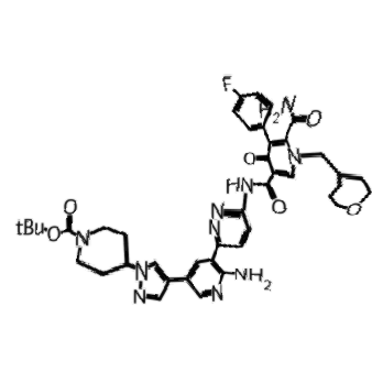 CC(C)(C)OC(=O)N1CCC(n2cc(-c3cnc(N)c(-c4ccc(NC(=O)c5cn(CC6CCOCC6)c(C(N)=O)c(-c6ccc(F)cc6)c5=O)nn4)c3)cn2)CC1